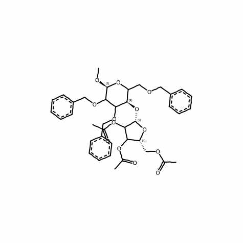 CO[C@H]1OC(COCc2ccccc2)[C@@H](O[C@@H]2O[C@H](COC(C)=O)C(OC(C)=O)C2OC(C)=O)C(OCc2ccccc2)C1OCc1ccccc1